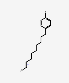 [CH2]/C=C/CCCCCCCc1ccc(F)cc1